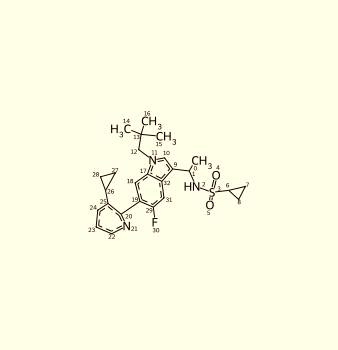 CC(NS(=O)(=O)C1CC1)c1cn(CC(C)(C)C)c2cc(-c3ncccc3C3CC3)c(F)cc12